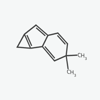 CC1(C)C=CC2=CC3=C(C3)C2=C1